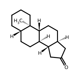 C[C@@]12CCCC[C@H]1CC[C@@H]1[C@H]3CC(=O)C[C@@H]3CC[C@H]12